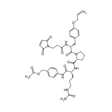 C=CCOc1ccc(C[C@H](NC(=O)CCN2C(=O)C=CC2=O)C(=O)N2CCC[C@H]2C(=O)N[C@@H](CCCNC(N)=O)C(=O)Nc2ccc(COC(C)=O)cc2)cc1